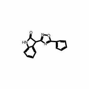 O=C1Nc2ccccc2C1c1noc(-c2ccccc2)n1